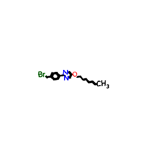 CCCCCCCCOc1cnc(-c2ccc(CBr)cc2)nc1